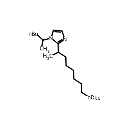 CCCCCCCCCCCCCCCCC(C)c1nccn1C(C)CCCC